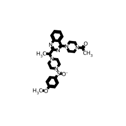 COc1ccc([S+]([O-])N2CCN(C(C)c3nc(N4CCN(C(C)=O)CC4)c4ccccc4n3)CC2)cc1